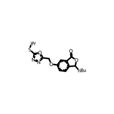 CCCCC1OC(=O)c2cc(OCc3nnc(SC(C)C)o3)ccc21